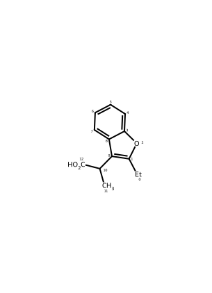 CCc1oc2ccccc2c1C(C)C(=O)O